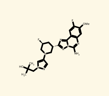 COc1cc2nc(N)n3nc([C@H]4C[C@H](F)CN(c5cnn(CC(C)(C)O)c5)C4)nc3c2cc1F